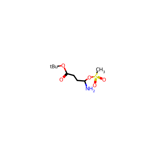 CC(C)(C)OC(=O)CCC(N)OS(C)(=O)=O